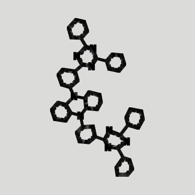 c1ccc(-c2nc(-c3ccccc3)nc(-c3cccc(N4c5ccccc5N(c5cccc(-c6nc(-c7ccccc7)nc(-c7ccccc7)n6)c5)c5ccccc54)c3)n2)cc1